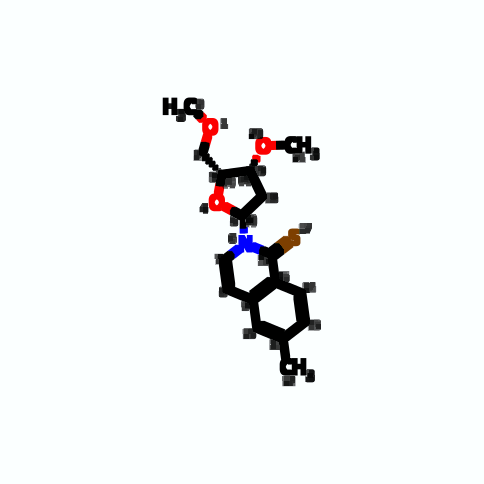 COC[C@H]1O[C@@H](n2ccc3cc(C)ccc3c2=S)C[C@H]1OC